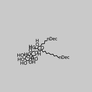 CCCCCCCCCCCCCCCCCCCC(=O)N[C@@H](C(O)[C@@H]1O[C@H](CO)[C@@H](O[C@@H]2O[C@H](CO)[C@H](O)[C@H](O)[C@H]2O)[C@H](O)[C@H]1O)[C@H](O)CCCCCCCCCCCCCCC